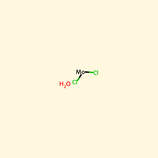 O.[Cl][Mo][Cl]